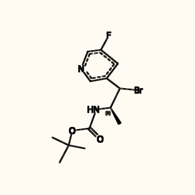 C[C@@H](NC(=O)OC(C)(C)C)C(Br)c1cncc(F)c1